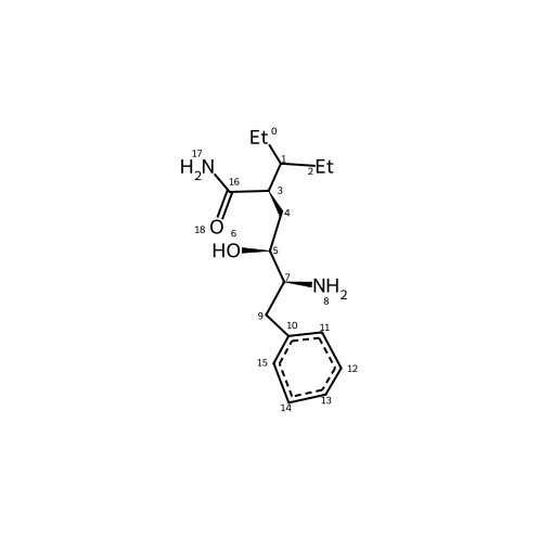 CCC(CC)[C@@H](C[C@H](O)[C@@H](N)Cc1ccccc1)C(N)=O